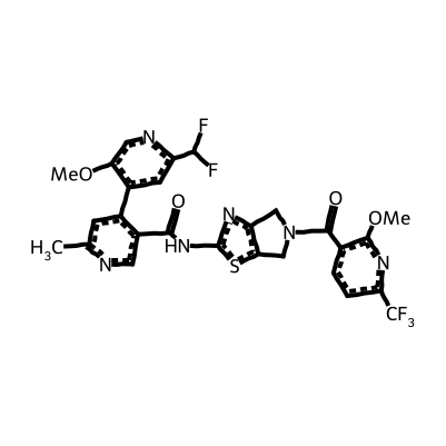 COc1cnc(C(F)F)cc1-c1cc(C)ncc1C(=O)Nc1nc2c(s1)CN(C(=O)c1ccc(C(F)(F)F)nc1OC)C2